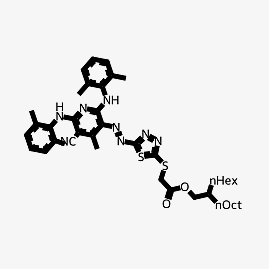 CCCCCCCCC(CCCCCC)COC(=O)CSc1nnc(N=Nc2c(Nc3c(C)cccc3C)nc(Nc3c(C)cccc3C)c(C#N)c2C)s1